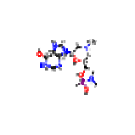 CC(C)N1C[C@@H](COP(C)(=O)N(C)C)O[C@@H](n2cnc3c(=O)[nH]cnc32)C1